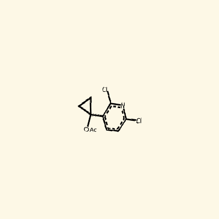 CC(=O)OC1(c2ccc(Cl)nc2Cl)CC1